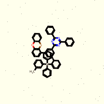 Cc1cccc([Si](C2=CC=CCC2c2cc(-c3nc(-c4ccccc4)nc(-c4ccccc4)n3)cc(-c3cccc4c3SC3C=CC=CC3O4)c2)(c2ccccc2)c2ccccc2)c1